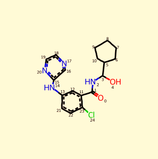 O=C(NC(O)C1CCCCC1)c1cc(Nc2cnccn2)ccc1Cl